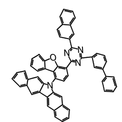 c1ccc(-c2cccc(-c3nc(-c4ccc5ccccc5c4)nc(-c4ccc(-n5c6cc7ccccc7cc6c6cc7ccccc7cc65)c5c4oc4ccccc45)n3)c2)cc1